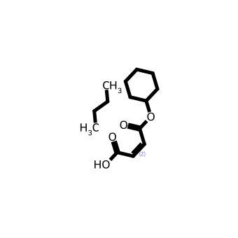 CCCC.O=C(O)/C=C\C(=O)OC1CCCCC1